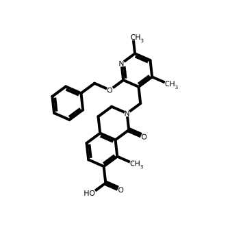 Cc1cc(C)c(CN2CCc3ccc(C(=O)O)c(C)c3C2=O)c(OCc2ccccc2)n1